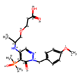 COc1ccc(Cn2ncc(NC(C)COCCC(=O)O)c(P(C)(C)=O)c2=O)cc1